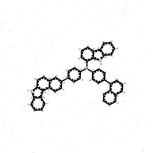 c1ccc2c(-c3ccc(N(c4ccc(-c5ccc6c(ccc7sc8ccccc8c76)c5)cc4)c4cccc5c4oc4ccccc45)cc3)cccc2c1